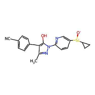 Cc1nn(-c2ccc([S@@+]([O-])C3CC3)cn2)c(O)c1-c1ccc(C#N)cc1